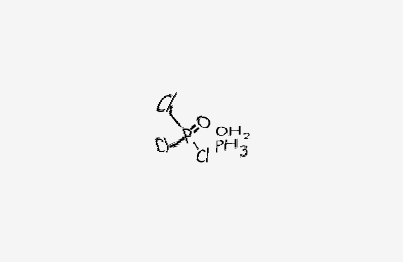 O.O=P(Cl)(Cl)Cl.P